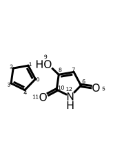 C1=CCC=C1.O=C1C=C(O)C(=O)N1